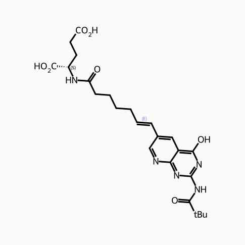 CC(C)(C)C(=O)Nc1nc(O)c2cc(/C=C/CCCCC(=O)N[C@@H](CCC(=O)O)C(=O)O)cnc2n1